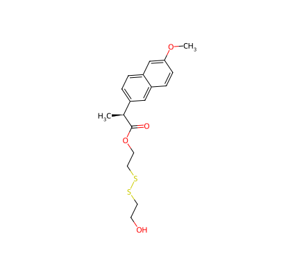 COc1ccc2cc([C@H](C)C(=O)OCCSSCCO)ccc2c1